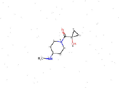 CNC1CCN(C(=O)C2(O)CC2)CC1